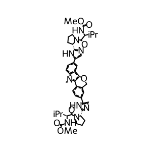 COC(=O)NC(C(=O)N1CCC[C@H]1c1ncc(-c2ccc3c(c2)c2c(n3C)-c3ccc(-c4cnc([C@@H]5CCCN5C(=O)[C@@H](NC(=O)OC)C(C)C)[nH]4)cc3CO2)[nH]1)C(C)C